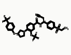 CCS(=O)(=O)c1ccc([C@H](CC#N)NC(=O)c2ccc(N3CC[C@H](Oc4ccc(C(F)(F)F)cc4)C3)c(OC(F)(F)F)c2)cc1